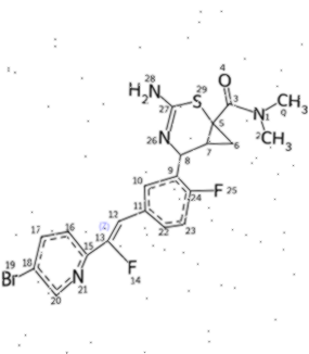 CN(C)C(=O)C12CC1C(c1cc(/C=C(\F)c3ccc(Br)cn3)ccc1F)N=C(N)S2